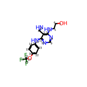 N=Cc1c(NCCO)ncnc1Nc1ccc(OC(F)(F)F)cc1